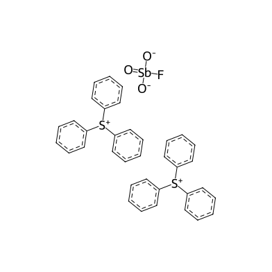 [O]=[Sb]([O-])([O-])[F].c1ccc([S+](c2ccccc2)c2ccccc2)cc1.c1ccc([S+](c2ccccc2)c2ccccc2)cc1